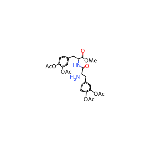 COC(=O)[C@H](Cc1ccc(OC(C)=O)c(OC(C)=O)c1)NC(=O)[C@@H](N)Cc1ccc(OC(C)=O)c(OC(C)=O)c1